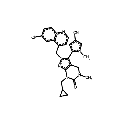 CN1Cc2c(nn(Cc3ccnc4ccc(Cl)cc34)c2-c2cc(C#N)cn2C)N(CC2CC2)C1=O